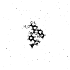 CC(C)C1=CCN(c2cnc3cc[nH]c3c2)C(C(=O)Nc2cccc(-c3nncn3C3CC3)c2)=C1